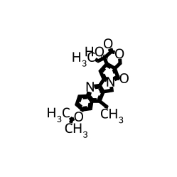 CCc1c2c(nc3ccc(OC(C)C)cc13)-c1cc3c(c(=O)n1C2)COC(=O)[C@]3(O)CC